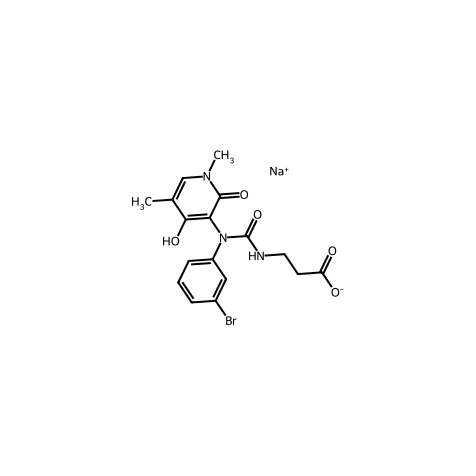 Cc1cn(C)c(=O)c(N(C(=O)NCCC(=O)[O-])c2cccc(Br)c2)c1O.[Na+]